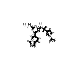 CC(C)(Nc1nc(N)nc(-c2ccc3cncn3c2)n1)c1ccn(C(F)F)n1